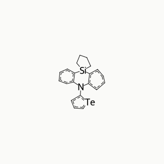 c1c[te]c(N2c3ccccc3[Si]3(CCCC3)c3ccccc32)c1